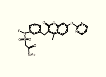 CNC(=O)CS(=O)(=O)N(F)c1cccc(Cc2c(C)c3ccc(Oc4ncccn4)cc3oc2=O)c1